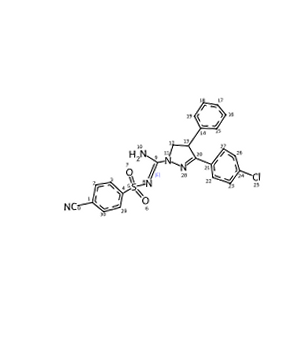 N#Cc1ccc(S(=O)(=O)/N=C(\N)N2CC(c3ccccc3)C(c3ccc(Cl)cc3)=N2)cc1